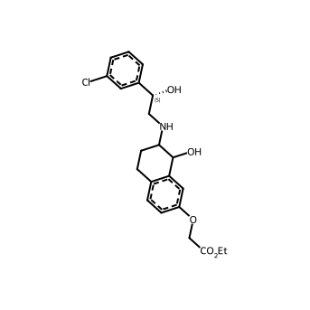 CCOC(=O)COc1ccc2c(c1)C(O)C(NC[C@@H](O)c1cccc(Cl)c1)CC2